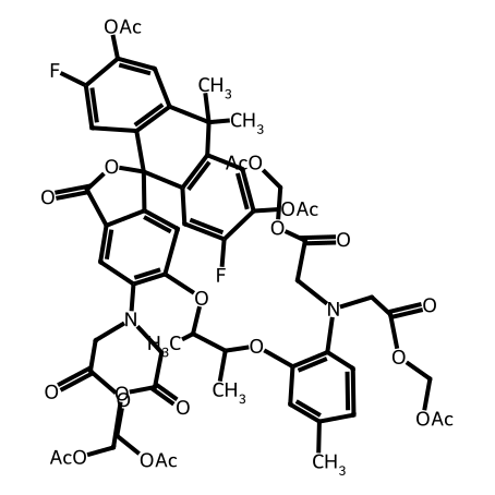 CC(=O)OCOC(=O)CN(CC(=O)OCOC(C)=O)c1ccc(C)cc1OC(C)C(C)Oc1cc2c(cc1N(CC(=O)OCOC(C)=O)CC(=O)OCOC(C)=O)C(=O)OC21c2cc(F)c(OC(C)=O)cc2C(C)(C)c2cc(OC(C)=O)c(F)cc21